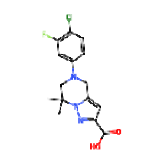 CC1(C)CN(c2ccc(Cl)c(F)c2)Cc2cc(C(=O)O)nn21